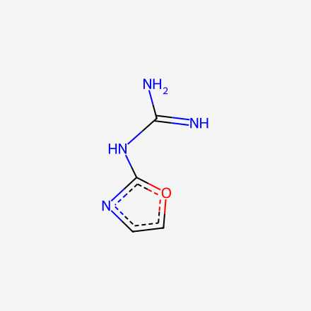 N=C(N)Nc1ncco1